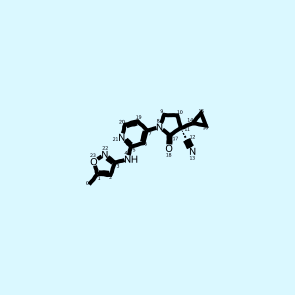 Cc1cc(Nc2cc(N3CC[C@@](C#N)(C4CC4)C3=O)ccn2)no1